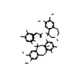 COc1cc2c(cc1OC)C(OC(=O)/C=C\C(=O)OC1(Oc3ccc(Cl)c(Cl)c3)CN(C)CCc3cc(OC)c(OC)cc31)(Oc1ccc(Cl)c(Cl)c1)CN(C)CC2